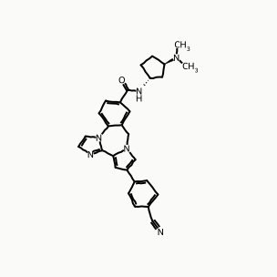 CN(C)[C@@H]1CC[C@@H](NC(=O)c2ccc3c(c2)Cn2cc(-c4ccc(C#N)cc4)cc2-c2nccn2-3)C1